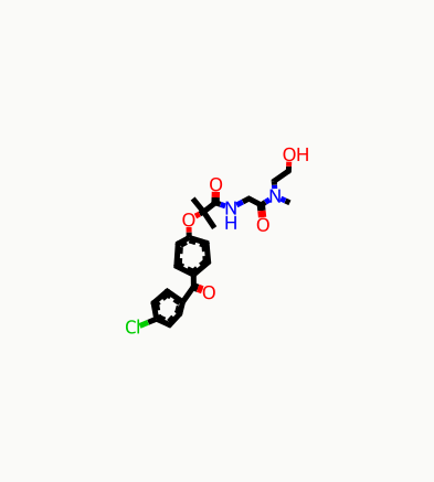 CN(CCO)C(=O)CNC(=O)C(C)(C)Oc1ccc(C(=O)c2ccc(Cl)cc2)cc1